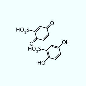 O=C1C=CC(=O)C(S(=O)(=O)O)=C1.O=S(=O)(O)c1cc(O)ccc1O